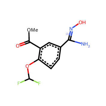 COC(=O)c1cc(/C(N)=N/O)ccc1OC(F)F